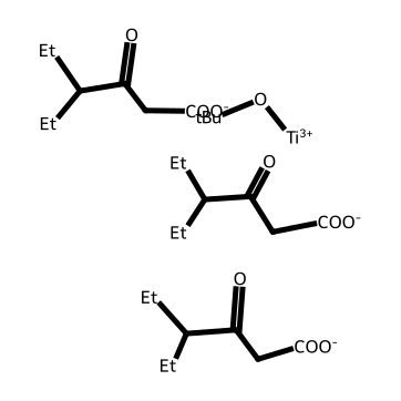 CC(C)(C)[O][Ti+3].CCC(CC)C(=O)CC(=O)[O-].CCC(CC)C(=O)CC(=O)[O-].CCC(CC)C(=O)CC(=O)[O-]